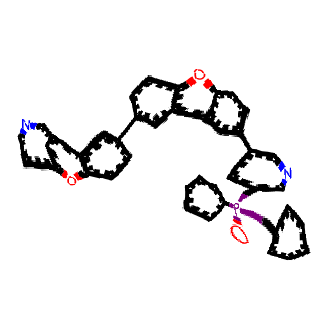 O=P(c1ccccc1)(c1ccccc1)c1cncc(-c2ccc3oc4ccc(-c5ccc6oc7ccncc7c6c5)cc4c3c2)c1